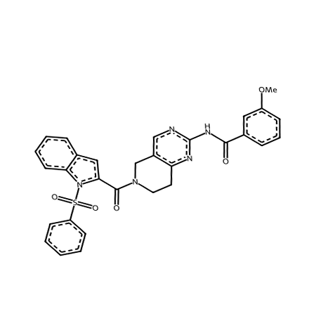 COc1cccc(C(=O)Nc2ncc3c(n2)CCN(C(=O)c2cc4ccccc4n2S(=O)(=O)c2ccccc2)C3)c1